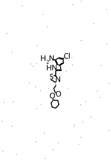 Nc1cc(Cl)cc2cc(C3=N[C@H](CCC(=O)OC4CCCCC4)CS3)[nH]c12